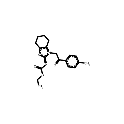 CCOC(=O)/N=c1\sc2c(n1CC(=O)c1ccc(C)cc1)CCCC2